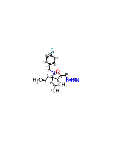 C=CCC1(CC(C)C)CC(CN=[N+]=[N-])ON1Cc1ccc(F)cc1